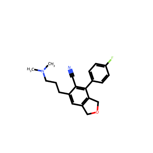 CN(C)CCCc1cc2c(c(-c3ccc(F)cc3)c1C#N)COC2